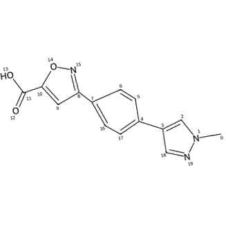 Cn1cc(-c2ccc(-c3cc(C(=O)O)on3)cc2)cn1